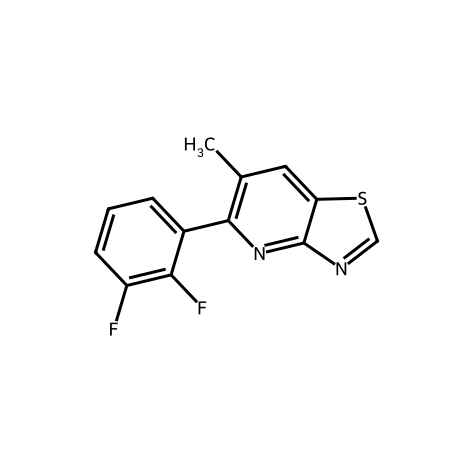 Cc1cc2scnc2nc1-c1cccc(F)c1F